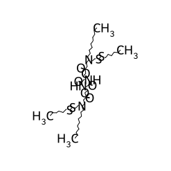 CCCCCCCCCCN(CCSSCCCCCC)CCC(=O)OC[C@@H]1NC(=O)[C@H](COC(=O)CCN(CCCCCCCCCC)CCSSCCCCCC)NC1=O